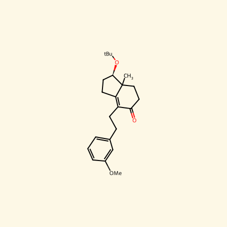 COc1cccc(CCC2=C3CC[C@@H](OC(C)(C)C)C3(C)CCC2=O)c1